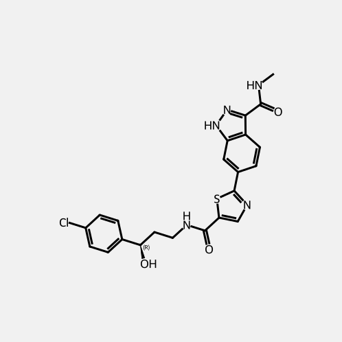 CNC(=O)c1n[nH]c2cc(-c3ncc(C(=O)NCC[C@@H](O)c4ccc(Cl)cc4)s3)ccc12